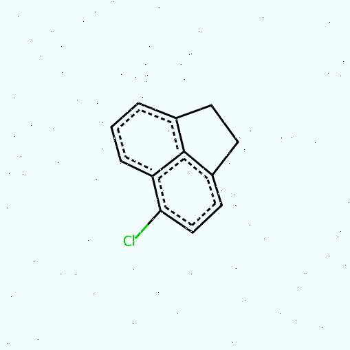 Clc1ccc2c3c(cccc13)CC2